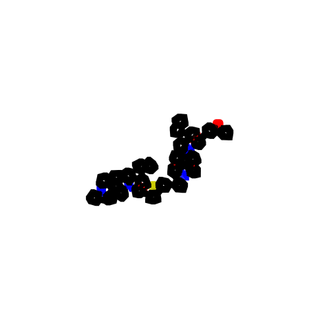 c1ccc(-c2cccc3ccccc23)c(-c2ccccc2N(c2ccc(-c3cccc4c3sc3ccc(-c5cccc6c5c5cccc7c5n6-c5ccccc5C75c6ccccc6-c6c(N(c7ccc(-c8ccc9oc%10ccccc%10c9c8)cc7)c7ccccc7-c7ccccc7-c7cccc8ccccc78)cccc65)cc34)cc2)c2cccc3c2-c2ccccc2C32c3ccccc3-n3c4ccccc4c4cccc2c43)c1